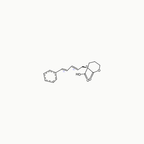 O=C(O)[C@]1(C/C=C/C=C/c2ccccc2)CCCOC1=O